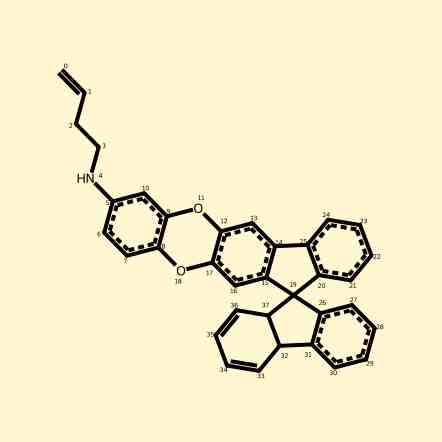 C=CCCNc1ccc2c(c1)Oc1cc3c(cc1O2)C1(c2ccccc2-3)c2ccccc2C2C=CC=CC21